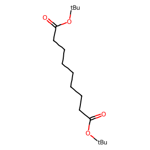 CC(C)(C)OC(=O)CCCCCCCC(=O)OC(C)(C)C